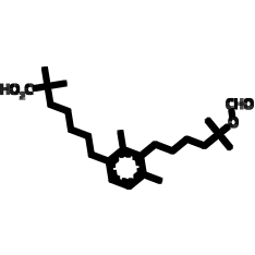 Cc1ccc(CCCCCC(C)(C)C(=O)O)c(C)c1CCCCC(C)(C)OC=O